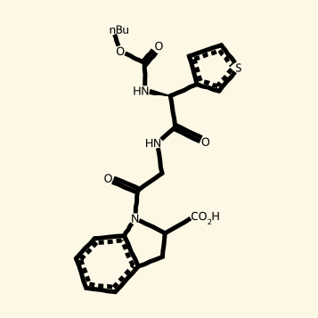 CCCCOC(=O)N[C@H](C(=O)NCC(=O)N1c2ccccc2CC1C(=O)O)c1ccsc1